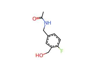 CC(=O)NCc1ccc(F)c(CO)c1